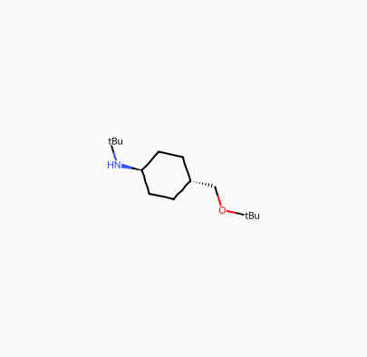 CC(C)(C)N[C@H]1CC[C@H](COC(C)(C)C)CC1